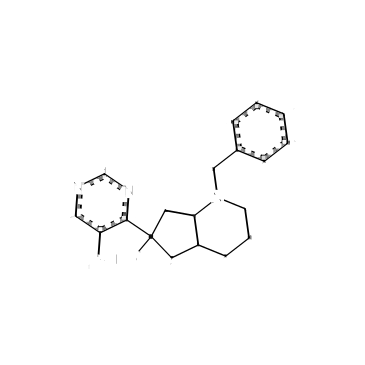 OC1(c2ncncc2Br)CC2CCCN(Cc3ccccc3)C2C1